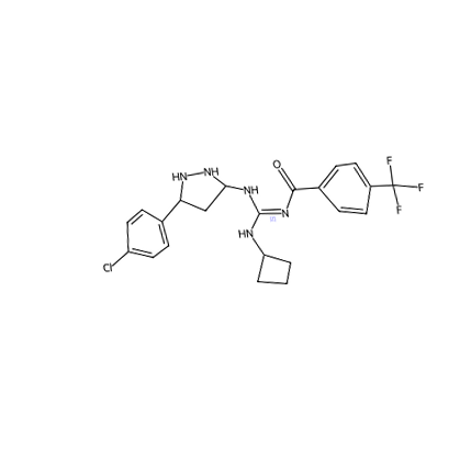 O=C(/N=C(/NC1CCC1)NC1CC(c2ccc(Cl)cc2)NN1)c1ccc(C(F)(F)F)cc1